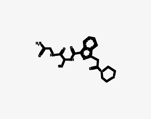 CC(C)(C)C(NC(=O)c1nn(CC(=O)N2CCSCC2)c2ccccc12)C(=O)NCC(N)=O